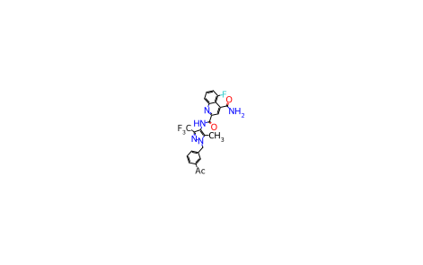 CC(=O)c1cccc(Cn2nc(C(F)(F)F)c(NC(=O)c3cc(C(N)=O)c4c(F)cccc4n3)c2C)c1